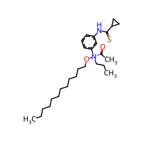 CCCCCCCCCCCCO[N+](CCC)(C(C)=O)c1cccc(NC(=S)C2CC2)c1